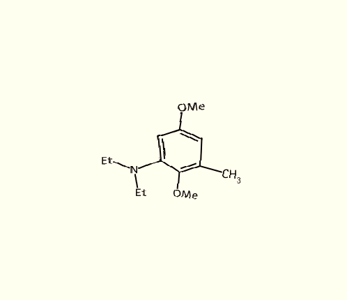 CCN(CC)c1cc(OC)cc(C)c1OC